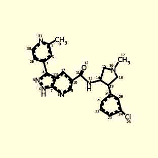 Cc1cc(-c2n[nH]c3ncc(C(=O)NC4CN(C)CC4c4cccc(Cl)c4)cc23)ccn1